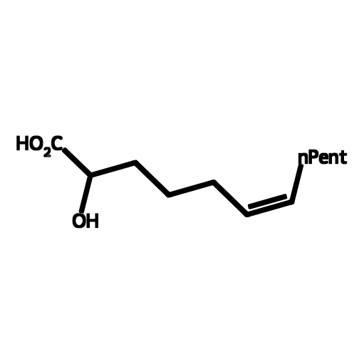 CCCCC/C=C\CCCC(O)C(=O)O